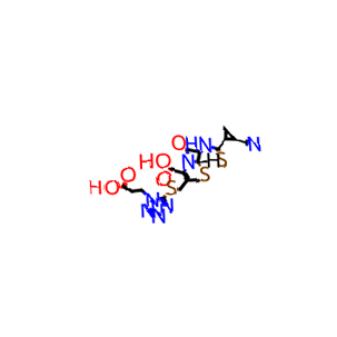 N#C[C@@H]1C[C@@H]1C(=S)NC1C(=O)N2C(C(=O)O)=C(CSc3nnnn3CCC(=O)O)CS[C@@H]12